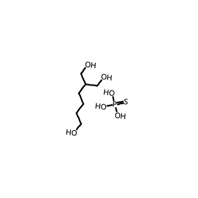 OCCCCC(CO)CO.OP(O)(O)=S